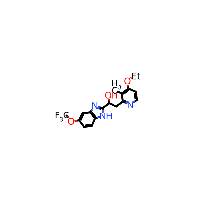 CCOc1ccnc(CC(O)c2nc3cc(OC(F)(F)F)ccc3[nH]2)c1C